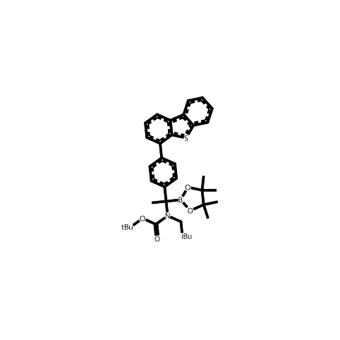 CCC(C)CN(C(=O)OC(C)(C)C)C(C)(B1OC(C)(C)C(C)(C)O1)c1ccc(-c2cccc3c2sc2ccccc23)cc1